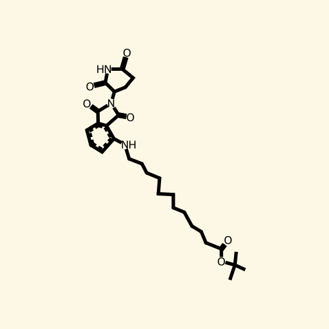 CC(C)(C)OC(=O)CCCCCCCCCCCNc1cccc2c1C(=O)N(C1CCC(=O)NC1=O)C2=O